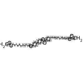 C=CC(=O)OCCCCCCCCCCCOc1ccc(-c2ccc(OC(=O)C3CCC(CCCCCCCCCCCOC(=O)C=C)CC3)cc2)cc1